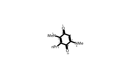 CCCC1=C(NC)C(=O)C=C(NC)C1=O